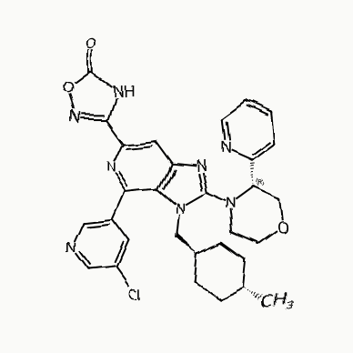 C[C@H]1CC[C@H](Cn2c(N3CCOC[C@H]3c3ccccn3)nc3cc(-c4noc(=O)[nH]4)nc(-c4cncc(Cl)c4)c32)CC1